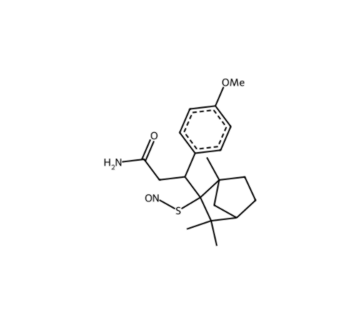 COc1ccc(C(CC(N)=O)C2(SN=O)C3(C)CCC(C3)C2(C)C)cc1